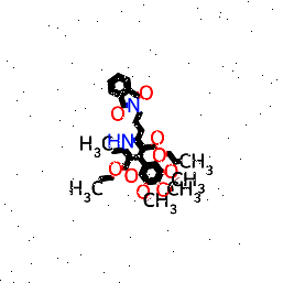 CCCOC(=O)C1=C(CC)NC(CCCN2C(=O)c3ccccc3C2=O)=C(C(=O)OCCC)C1c1cc(OC)c(OC)c(OC)c1